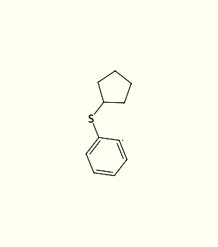 [c]1ccccc1SC1CCCC1